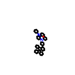 C1=CCCC(N(C2=CC=C(c3cccc4c3-c3ccccc3C4(c3ccccc3)C3C=CC=CC3)CC2)c2cccc3c2c2ccccc2n3-c2ccccc2)=C1